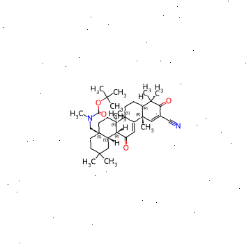 CN(C[C@]12CCC(C)(C)C[C@H]1[C@H]1C(=O)C=C3[C@@]4(C)C=C(C#N)C(=O)C(C)(C)[C@@H]4CC[C@@]3(C)[C@]1(C)CC2)C(=O)OC(C)(C)C